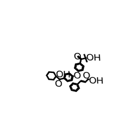 CC(C)(O)C(=O)c1ccc(Oc2ccc(C(=O)C3(O)CCCCC3)cc2)cc1.O=C(O)C=Cc1ccccc1